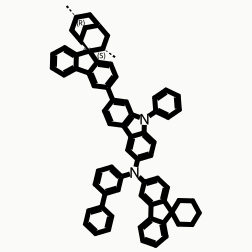 C[C@@H]1CC2CC(C1)[C@@]1(c3ccccc3-c3cc(-c4ccc5c6cc(N(c7cccc(-c8ccccc8)c7)c7ccc8c(c7)-c7ccccc7C87CCCCC7)ccc6n(-c6ccccc6)c5c4)ccc31)[C@@H](C)C2